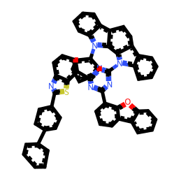 c1ccc(-c2ccc(-c3nc4cccc(-c5nc(-c6cccc7c6oc6ccccc67)nc(-n6c7ccccc7c7ccc8c9ccccc9n(-c9ccccc9)c8c76)n5)c4s3)cc2)cc1